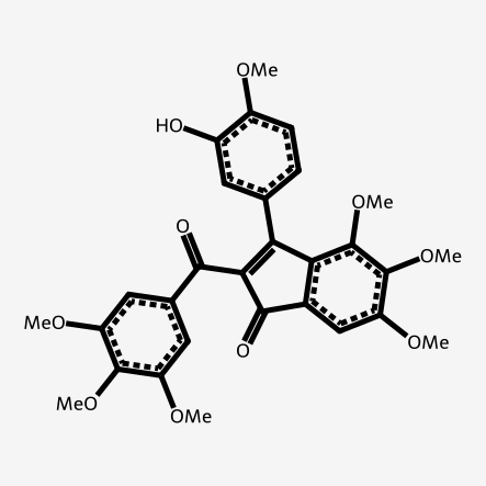 COc1ccc(C2=C(C(=O)c3cc(OC)c(OC)c(OC)c3)C(=O)c3cc(OC)c(OC)c(OC)c32)cc1O